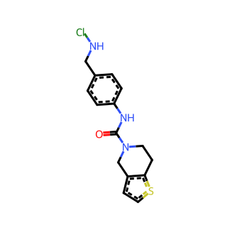 O=C(Nc1ccc(CNCl)cc1)N1CCc2sccc2C1